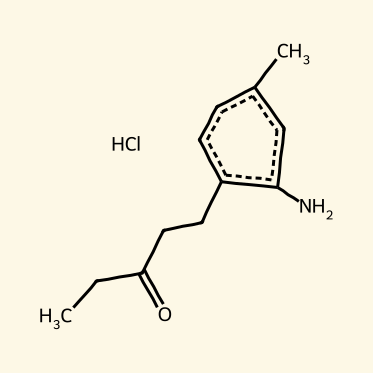 CCC(=O)CCc1ccc(C)cc1N.Cl